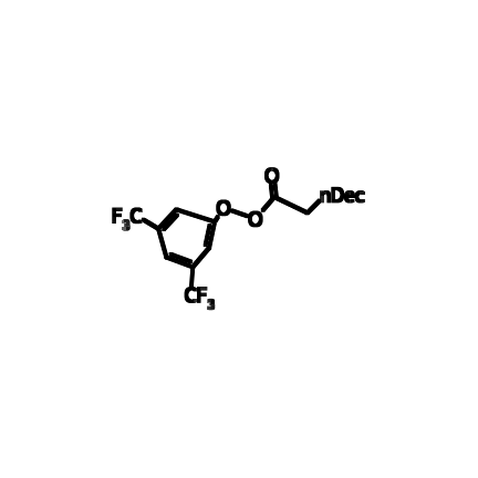 CCCCCCCCCCCC(=O)OOc1cc(C(F)(F)F)cc(C(F)(F)F)c1